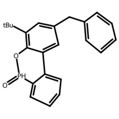 CC(C)(C)c1cc(Cc2ccccc2)cc2c1O[PH](=O)c1ccccc1-2